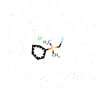 C[P+](C)(CF)c1ccccc1.[Cl-]